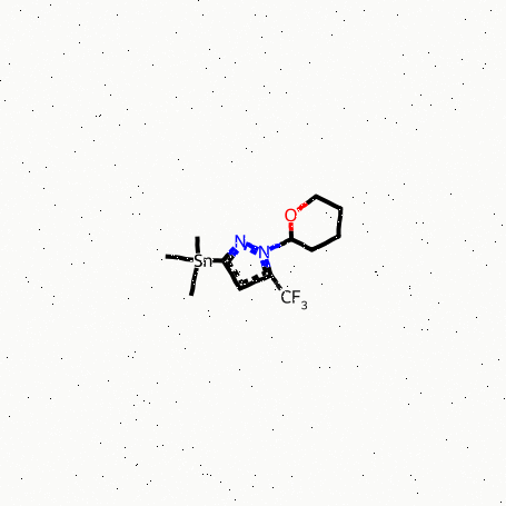 [CH3][Sn]([CH3])([CH3])[c]1cc(C(F)(F)F)n(C2CCCCO2)n1